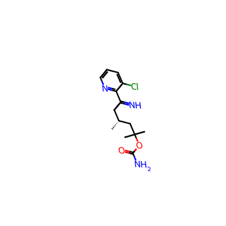 C[C@H](CC(=N)c1ncccc1Cl)CC(C)(C)OC(N)=O